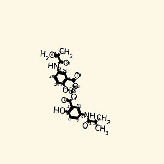 C=C(C)C(=O)Nc1ccc(O)c(C(=O)OB2OC(=O)c3cc(NC(=O)C(=C)C)ccc3O2)c1